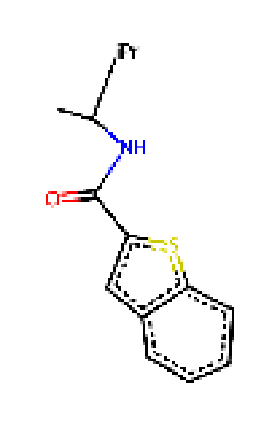 CC(C)C(C)NC(=O)c1cc2ccccc2s1